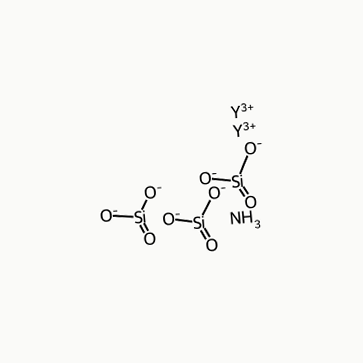 N.O=[Si]([O-])[O-].O=[Si]([O-])[O-].O=[Si]([O-])[O-].[Y+3].[Y+3]